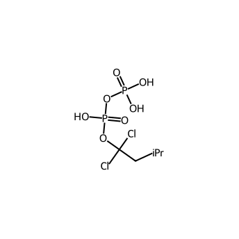 CC(C)CC(Cl)(Cl)OP(=O)(O)OP(=O)(O)O